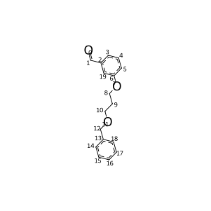 O=Cc1cccc(OCCCOCc2ccccc2)c1